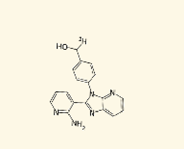 [2H]C(O)c1ccc(-n2c(-c3cccnc3N)nc3cccnc32)cc1